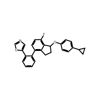 Fc1ccc(-c2ccccc2-c2cnco2)c2c1C(Oc1ccc(C3CC3)cc1)CC2